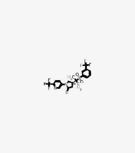 CC(C)([C@H]1CC(=O)N(c2ccc(C(F)(F)F)nc2)C1)S(=O)(=O)c1cccc(C(F)(F)F)c1